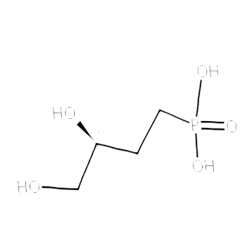 O=P(O)(O)CC[C@H](O)CO